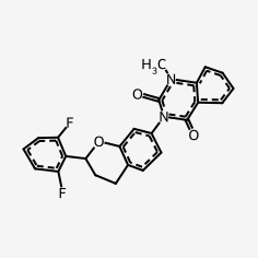 Cn1c(=O)n(-c2ccc3c(c2)OC(c2c(F)cccc2F)CC3)c(=O)c2ccccc21